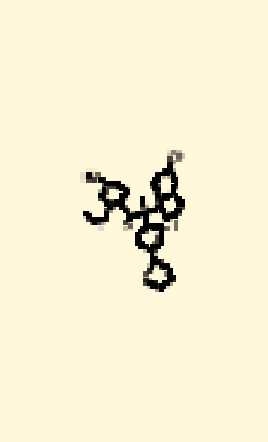 C/C=C\c1cc(O)ccc1C(=O)C(C)(c1ccc(-c2ccccc2)cc1)c1c(O)ccc2cc(O)ccc12